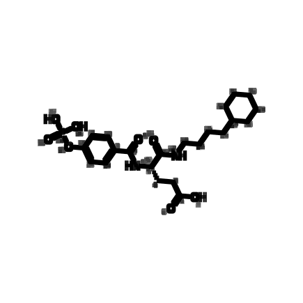 O=C(O)CC[C@H](NC(=O)c1ccc(OP(=O)(O)O)cc1)C(=O)NCCCCC1CCCCC1